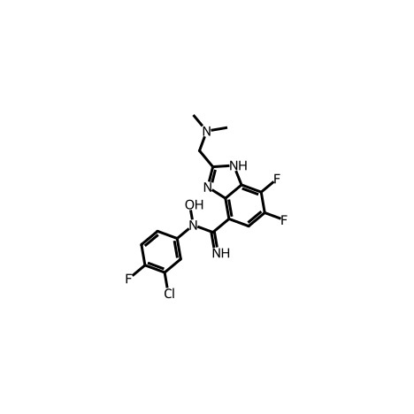 CN(C)Cc1nc2c(C(=N)N(O)c3ccc(F)c(Cl)c3)cc(F)c(F)c2[nH]1